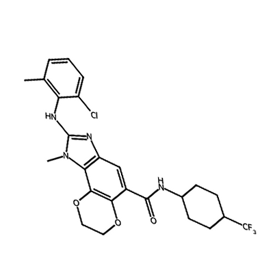 Cc1cccc(Cl)c1Nc1nc2cc(C(=O)NC3CCC(C(F)(F)F)CC3)c3c(c2n1C)OCCO3